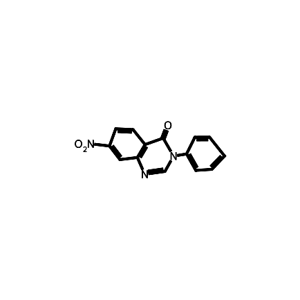 O=c1c2ccc([N+](=O)[O-])cc2ncn1-c1ccccc1